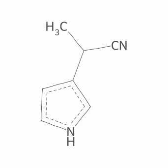 CC(C#N)c1cc[nH]c1